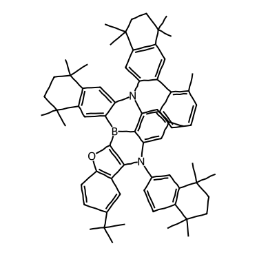 Cc1cc2c3c(c1)N(c1ccc4c(c1)C(C)(C)CCC4(C)C)c1c(oc4ccc(C(C)(C)C)cc14)B3c1cc3c(cc1N2c1cc2c(cc1-c1c(C)cccc1C)C(C)(C)CCC2(C)C)C(C)(C)CCC3(C)C